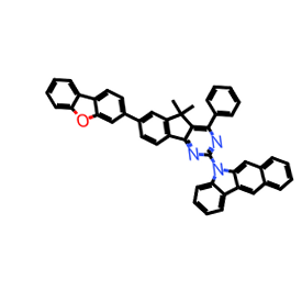 CC1(C)c2cc(-c3ccc4c(c3)oc3ccccc34)ccc2-c2nc(-n3c4ccccc4c4cc5ccccc5cc43)nc(-c3ccccc3)c21